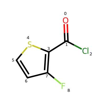 O=C(Cl)c1sccc1F